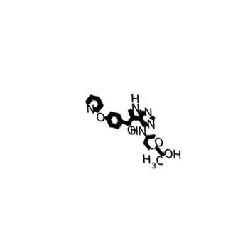 C[C@@H](O)[C@@H]1CC[C@@H](Nc2ncnc3[nH]cc(C(=O)c4ccc(Oc5ccccn5)cc4)c23)CO1